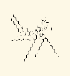 CCCCCCCCCCC[C@H](CC(=O)N[C@H]1[C@H](OC[C@H](CCO)C(=O)C[C@@H](CCCCCCCCCCC)OC(=O)CCCCCCCCC)O[C@H](CO)[C@@H](OP(=O)(O)O)[C@@H]1OC(=O)C[C@@H](CCCCCCCCCCC)C(=O)CCCCCCCCC)OC(=O)CCCCCCCCC.CCN(CC)CC